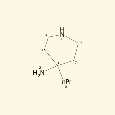 CCCC1(N)CCNCC1